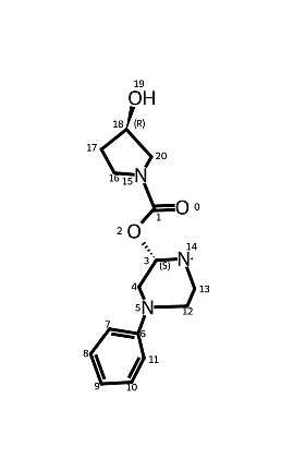 O=C(O[C@H]1CN(c2ccccc2)CC[N]1)N1CC[C@@H](O)C1